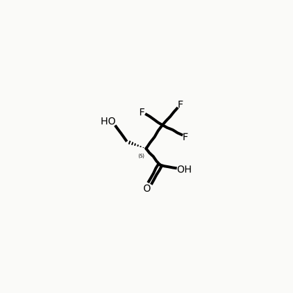 O=C(O)[C@H](CO)C(F)(F)F